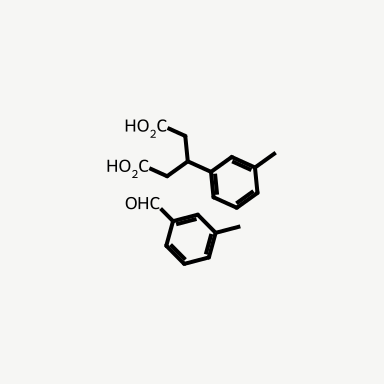 Cc1cccc(C(CC(=O)O)CC(=O)O)c1.Cc1cccc(C=O)c1